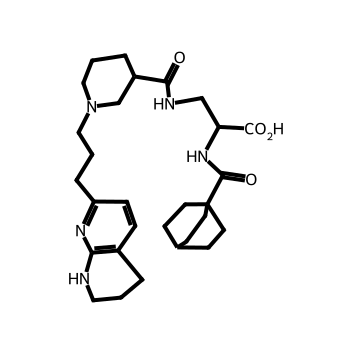 O=C(NCC(NC(=O)C12CCC(CC1)CC2)C(=O)O)C1CCCN(CCCc2ccc3c(n2)NCCC3)C1